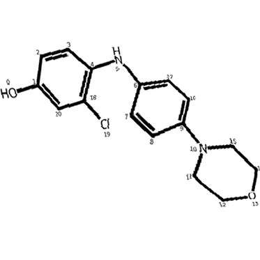 Oc1ccc(Nc2ccc(N3CCOCC3)cc2)c(Cl)c1